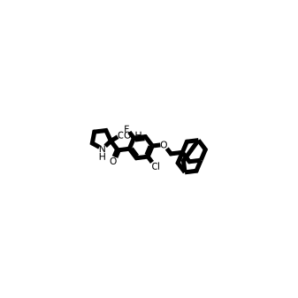 O=C(O)C1(C(=O)c2cc(Cl)c(OCC34CC5CC(CC(C5)C3)C4)cc2F)CCCN1